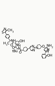 Cc1ncsc1-c1ccc([C@H](C)NC(=O)[C@@H]2C[C@@H](O)CN2C(=O)[C@@H](NC(=O)C2CC=C(c3cnc(N4CCC(Oc5cc(-c6ccccc6O)nnc5N)CC4)nc3)CC2)C(C)(C)C)cc1